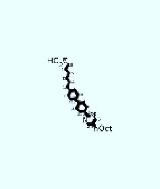 CCCCCCCCc1cnc(-c2ccc(-c3ccc(CCCCCCC(=O)O)cc3)cc2)nc1